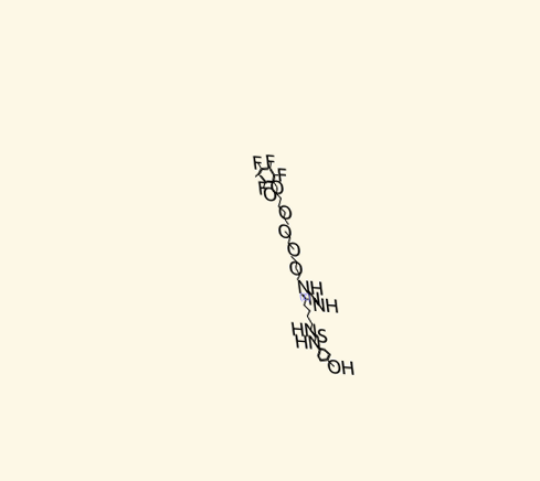 Cc1c(F)c(F)c(F)c(OC(=O)CCOCCOCCOCCOCCN/C=C(/CCCCNC(=S)Nc2ccc(O)cc2)N=N)c1F